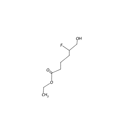 CCOC(=O)CCCC(F)CO